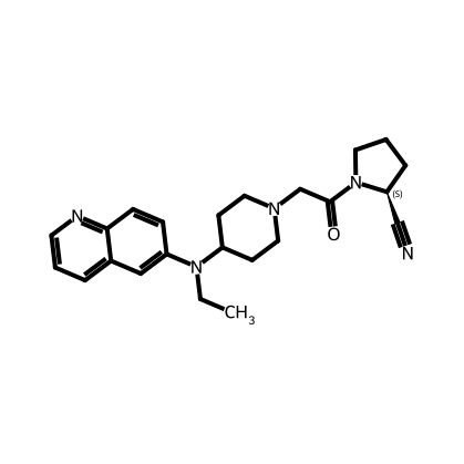 CCN(c1ccc2ncccc2c1)C1CCN(CC(=O)N2CCC[C@H]2C#N)CC1